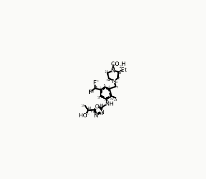 CC[C@H]1CN(Cc2cc(C(F)F)cc(Nc3nnc(C(C)O)o3)c2C)CCN1C(=O)O